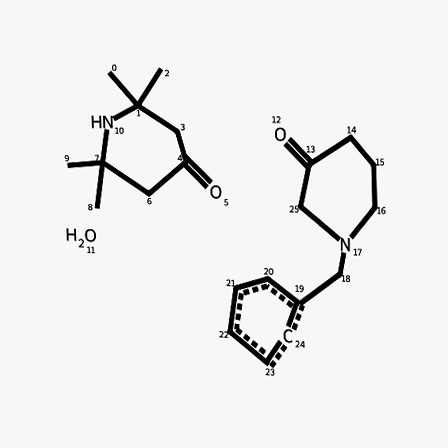 CC1(C)CC(=O)CC(C)(C)N1.O.O=C1CCCN(Cc2ccccc2)C1